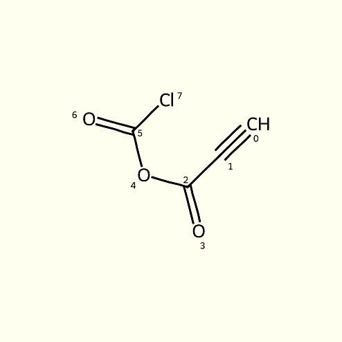 C#CC(=O)OC(=O)Cl